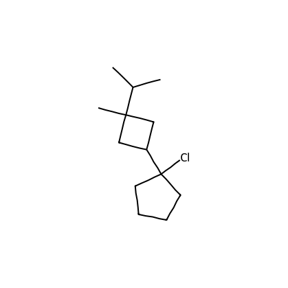 CC(C)C1(C)CC(C2(Cl)CCCC2)C1